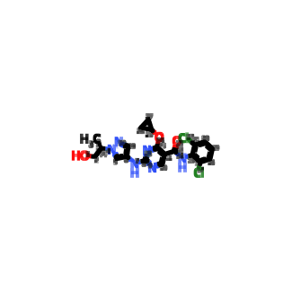 C[C@H](CO)n1cc(Nc2ncc(C(=O)Nc3c(Cl)cccc3Cl)c(OC3CC3)n2)cn1